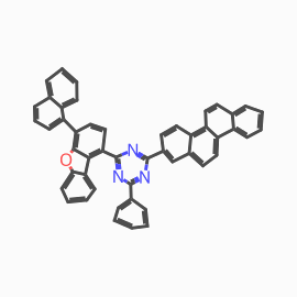 c1ccc(-c2nc(-c3ccc4c(ccc5c6ccccc6ccc45)c3)nc(-c3ccc(-c4cccc5ccccc45)c4oc5ccccc5c34)n2)cc1